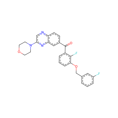 O=C(c1ccc2ncc(N3CCOCC3)nc2c1)c1cccc(OCc2cccc(F)c2)c1F